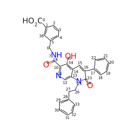 O=C(O)c1cccc(CNC(=O)c2ncc3c(cc(-c4ccccc4)c(=O)n3CCc3ccccc3)c2O)c1